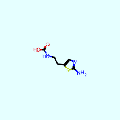 Nc1ncc(CCNC(=O)O)s1